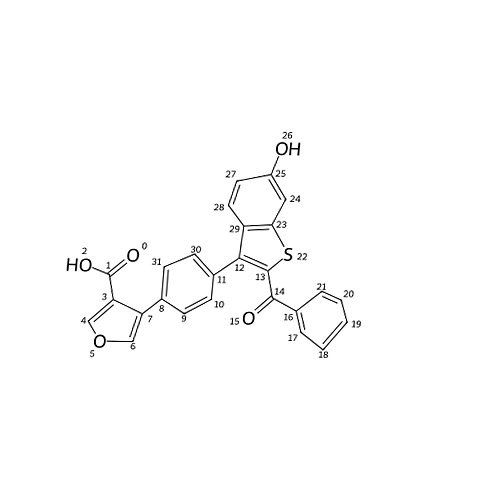 O=C(O)c1cocc1-c1ccc(-c2c(C(=O)c3ccccc3)sc3cc(O)ccc23)cc1